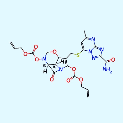 C=CCOC(=O)OC1=C(CSc2cc(C)nc3nc(C(N)=O)nn23)C2OCN(OC(=O)OCC=C)[C@@H]3C(=O)N1[C@H]23